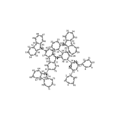 c1ccc(-c2cc(-c3ccccc3)nc(-c3ccc(-c4ccccc4-n4c5ccccc5c5ccccc54)c(-n4c5ccc(-n6c7ccccc7c7ccccc76)cc5c5cc(-n6c7ccccc7c7ccccc76)ccc54)c3)n2)cc1